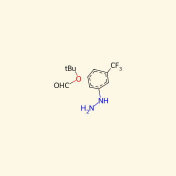 CC(C)(C)OC=O.NNc1cccc(C(F)(F)F)c1